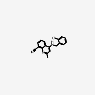 Cc1cc(NCc2ccccc2Cl)c2cccc(C#N)c2n1